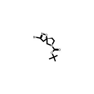 CC(C)(C)OC(=O)N1CC[C@]2(CC(Br)=NO2)C1